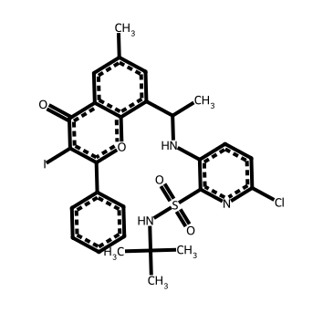 Cc1cc(C(C)Nc2ccc(Cl)nc2S(=O)(=O)NC(C)(C)C)c2oc(-c3ccccc3)c(I)c(=O)c2c1